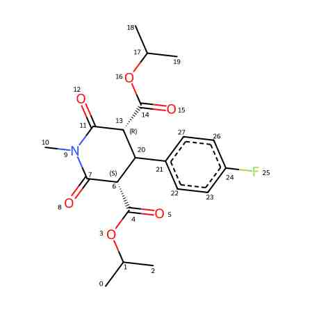 CC(C)OC(=O)[C@@H]1C(=O)N(C)C(=O)[C@H](C(=O)OC(C)C)C1c1ccc(F)cc1